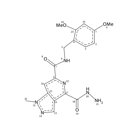 COc1ccc(CNC(=O)c2cc3c(cnn3C)c(C(=O)NN)n2)c(OC)c1